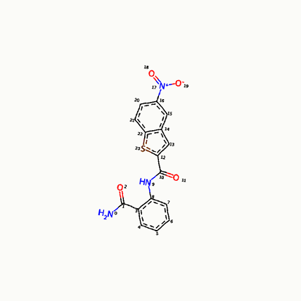 NC(=O)c1ccccc1NC(=O)c1cc2cc([N+](=O)[O-])ccc2s1